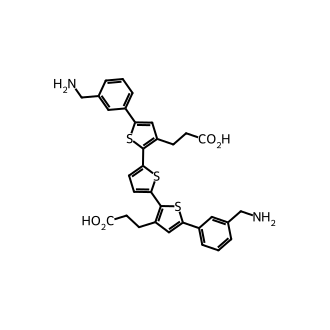 NCc1cccc(-c2cc(CCC(=O)O)c(-c3ccc(-c4sc(-c5cccc(CN)c5)cc4CCC(=O)O)s3)s2)c1